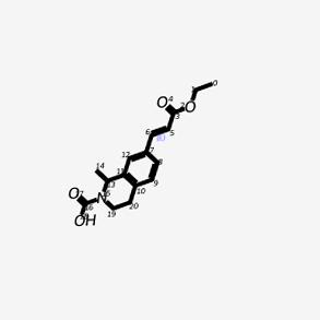 CCOC(=O)/C=C/c1ccc2c(c1)C(C)N(C(=O)O)CC2